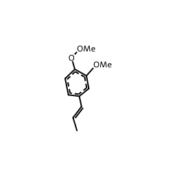 CC=Cc1ccc(OOC)c(OC)c1